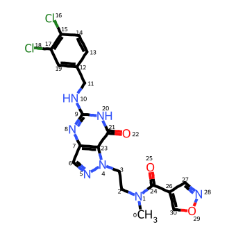 CN(CCn1ncc2nc(NCc3ccc(Cl)c(Cl)c3)[nH]c(=O)c21)C(=O)c1cnoc1